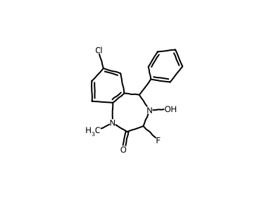 CN1C(=O)C(F)N(O)C(c2ccccc2)c2cc(Cl)ccc21